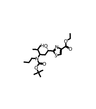 CCCN(C(=O)OC(C)(C)C)C(C[C@H](O)c1nc(C(=O)OCC)cs1)C(C)C